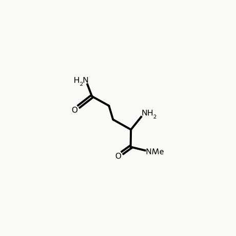 [CH2]NC(=O)C(N)CCC(N)=O